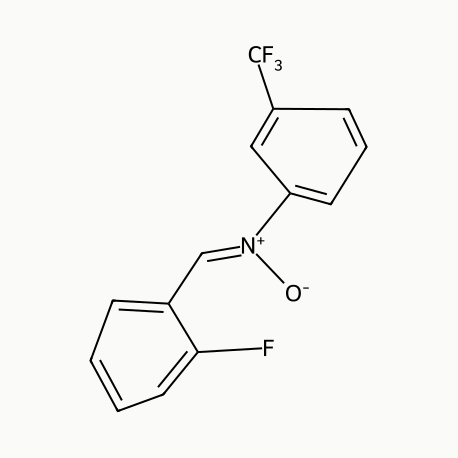 [O-][N+](=Cc1ccccc1F)c1cccc(C(F)(F)F)c1